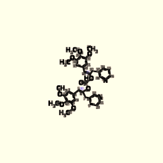 COc1cc(/C=C(\Cc2cccnc2)O[PH](=O)O/C(=C/c2cc(OC)c(OC)c(OC)c2)Cc2cccnc2)cc(OC)c1OC